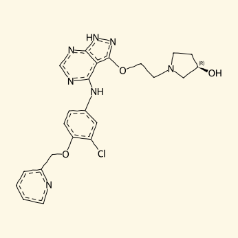 O[C@@H]1CCN(CCOc2n[nH]c3ncnc(Nc4ccc(OCc5ccccn5)c(Cl)c4)c23)C1